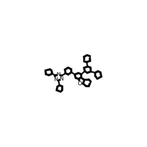 c1ccc(-c2cc(-c3ccccc3)cc(-c3cc(-c4cccc(-c5nc(-c6ccccc6)nc(-c6ccccc6)n5)c4)cc4oc5ccccc5c34)c2)cc1